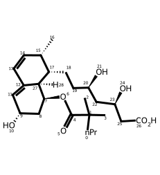 CCCC(C)(C)C(=O)O[C@H]1C[C@H](O)C=C2C=C[C@H](C)[C@H](CC[C@@H](O)C[C@@H](O)CC(=O)O)[C@H]21